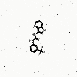 O=C(Nc1cccc(C(F)(F)F)c1)Nc1c[nH]c2cccnc12